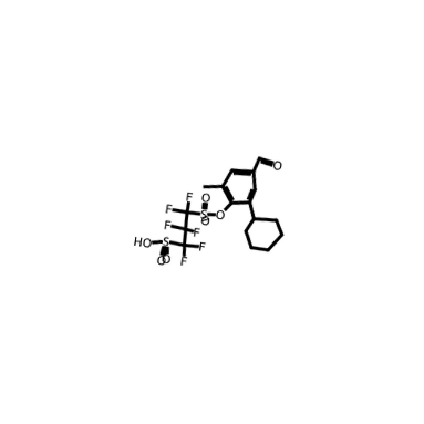 Cc1cc(C=O)cc(C2CCCCC2)c1OS(=O)(=O)C(F)(F)C(F)(F)C(F)(F)S(=O)(=O)O